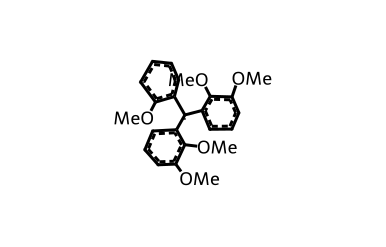 COc1ccccc1[C](c1cccc(OC)c1OC)c1cccc(OC)c1OC